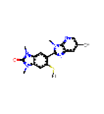 CCSc1cc2c(cc1-c1nc3cc(C(F)(F)F)cnc3n1C)n(C)c(=O)n2C